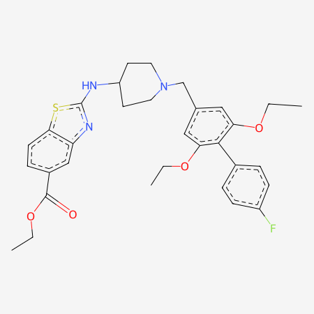 CCOC(=O)c1ccc2sc(NC3CCN(Cc4cc(OCC)c(-c5ccc(F)cc5)c(OCC)c4)CC3)nc2c1